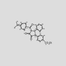 CCOC(=O)c1ccc(N2C(=O)C(=O)C(C(=O)c3ccc(N(C)C)cc3)C2c2ccccc2)cc1